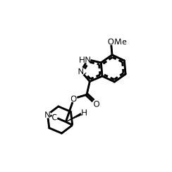 COc1cccc2c(C(=O)O[C@H]3CN4CCC3CC4)n[nH]c12